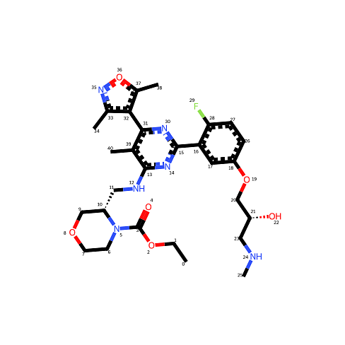 CCOC(=O)N1CCOC[C@@H]1CNc1nc(-c2cc(OC[C@H](O)CNC)ccc2F)nc(-c2c(C)noc2C)c1C